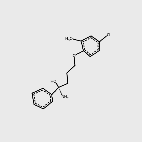 Cc1cc(Cl)ccc1OCCC[C@](N)(O)c1ccccc1